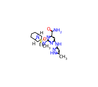 CC[S+]([O-])N1[C@@H]2CCC[C@H]1C[C@H](N(C)c1nc(Nc3cc(C)[nH]n3)cc(C(N)=O)n1)C2